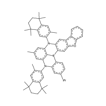 Cc1cc2c3c(c1)N(c1cc4c(cc1C)C(C)(C)CCC4(C)C)c1cc4c(cc1B3c1ccc(C(C)C)cc1N2c1cc2c(cc1C)C(C)(C)CCC2(C)C)oc1ccccc14